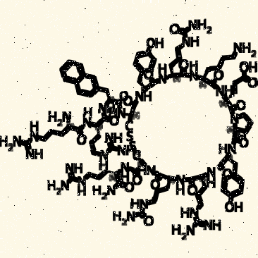 N=C(N)NCCC[C@H](NC(=O)[C@@H]1CSSC[C@H](NC(=O)[C@H](Cc2ccc3ccccc3c2)NC(=O)[C@H](CCCNC(=N)N)NC(=O)[C@@H](N)CCCNC(=N)N)C(=O)N[C@@H](Cc2ccc(O)cc2)C(=O)N[C@@H](CCCNC(N)=O)C(=O)N[C@@H](CCCCN)C(=O)N[C@H](CCC(=O)O)C(=O)N2CCC[C@H]2C(=O)N[C@@H](Cc2ccc(O)cc2)C(=O)N[C@@H](CCCNC(=N)N)C(=O)N[C@@H](CCCNC(N)=O)C(=O)N1)C(N)=O